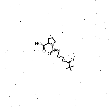 CC(C)(C)C(=O)OCON=[N+]([O-])N1CCCC1C(=O)O